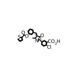 CC1=NN(c2ccc(Cl)c(C(=O)O)c2)C(=O)/C1=C/c1cccc(OC(=O)c2cccs2)c1